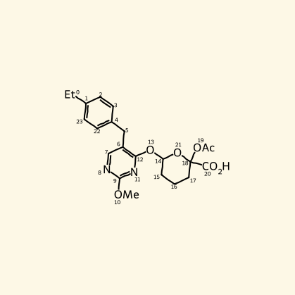 CCc1ccc(Cc2cnc(OC)nc2OC2CCCC(OC(C)=O)(C(=O)O)O2)cc1